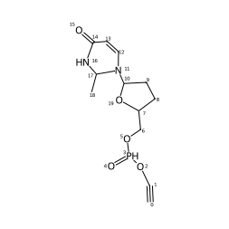 C#CO[PH](=O)OCC1CCC(N2C=CC(=O)NC2C)O1